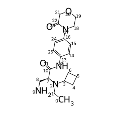 CCN(C1CCC1)[C@@H](CN)C(=O)Nc1ccc(N2CCOCC2=O)cc1